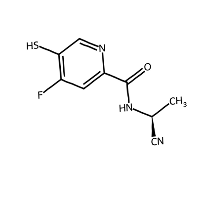 C[C@@H](C#N)NC(=O)c1cc(F)c(S)cn1